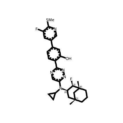 CSc1ncc(-c2ccc(-c3ncc(N(C4CC4)[C@@H]4C[C@@]5(C)CCC[C@](C)(C5)[C@@H]4F)nn3)c(O)c2)cc1F